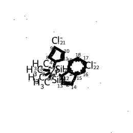 [CH3][Zr]([CH3])([CH3])([CH3])(=[SiH2])(=[SiH2])([CH]1C=CC=C1)[CH]1C=Cc2ccccc21.[Cl-].[Cl-]